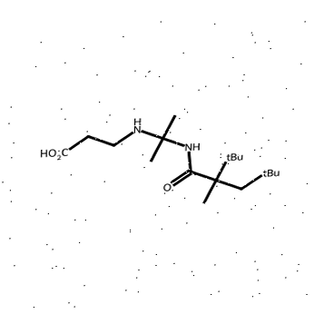 CC(C)(C)CC(C)(C(=O)NC(C)(C)NCCC(=O)O)C(C)(C)C